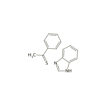 CC(=S)c1ccccc1.c1ccc2[nH]cnc2c1